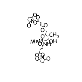 COC1OC(COC(=O)/C=C/C(=O)ON2C(=O)CCC2=O)C(C)C(O)C1NC(=O)/C=C/C(=O)ON1C(=O)CCC1=O